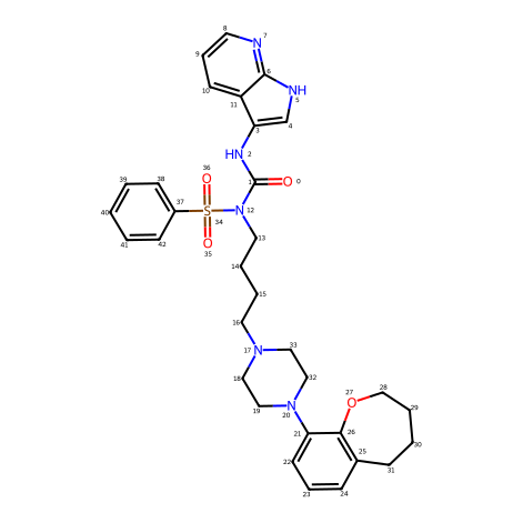 O=C(Nc1c[nH]c2ncccc12)N(CCCCN1CCN(c2cccc3c2OCCCC3)CC1)S(=O)(=O)c1ccccc1